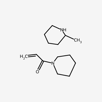 C=CC(=O)N1CCCCC1.CC1CCCCN1